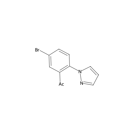 CC(=O)c1cc(Br)ccc1-n1cccn1